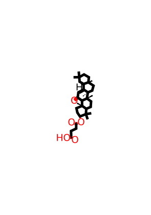 CC1(C)CC[C@]2(C)CC[C@]3(C)C(=CC(=O)C4[C@@]5(C)CC[C@H](OC(=O)CCC(=O)O)C(C)(C)C5CC[C@]43C)[C@@H]2C1